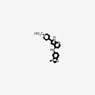 Cn1cnc2ccc(Nc3ccnc4[nH]c(C5=CCN(C(=O)O)CC5)cc34)cc21